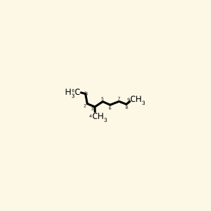 C[CH]CC(C)CCCCC